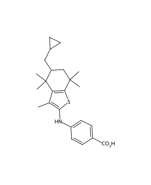 Cc1c(Nc2ccc(C(=O)O)cc2)sc2c1C(C)(C)C(CC1CC1)CC2(C)C